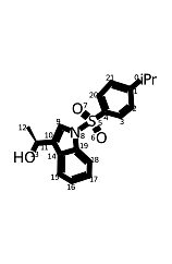 CC(C)c1ccc(S(=O)(=O)n2cc([C@H](C)O)c3ccccc32)cc1